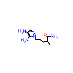 CC(CCCn1ncc(N)c1N)C(N)=O